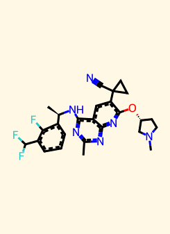 Cc1nc(N[C@H](C)c2cccc(C(F)F)c2F)c2cc(C3(C#N)CC3)c(O[C@@H]3CCN(C)C3)nc2n1